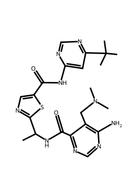 CC(NC(=O)c1ncnc(N)c1CN(C)C)c1ncc(C(=O)Nc2cc(C(C)(C)C)ncn2)s1